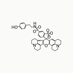 O=S(=O)(NCCc1ccc(O)cc1)c1ccc2c(c1)S(=O)(=O)OC21c2cc3c4c(c2Oc2c1cc1c5c2CCCN5CCC1)CCCN4CCC3